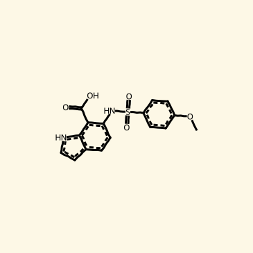 COc1ccc(S(=O)(=O)Nc2ccc3cc[nH]c3c2C(=O)O)cc1